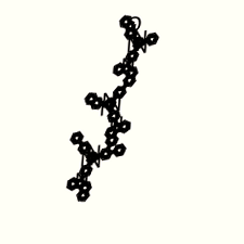 c1ccc(-c2ccc(-c3nc(-c4ccc(-n5c6ccccc6c6c7ccccc7ccc65)cc4)nc(-c4ccc(-c5ccccc5)c(-c5ccc6c(ccc7c6c6ccccc6n7-c6ccc(-c7nc(-c8ccc(-c9ccc%10ccc%11c(c%10c9)c9ccccc9n%11-c9ccc(-c%10nc(-c%11ccccc%11)nc(-c%11ccc%12c(c%11)oc%11ccccc%11%12)n%10)cc9)cc8)nc(-c8ccc9ccccc9c8)n7)cc6)c5)c4)n3)cc2)cc1